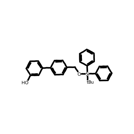 CC(C)(C)[Si](OCc1ccc(-c2cccc(O)c2)cc1)(c1ccccc1)c1ccccc1